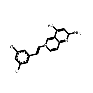 NC1C=C(O)C2=CN(/C=C/c3cc(Cl)cc(Cl)c3)C=CC2=N1